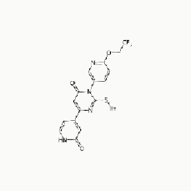 CCSc1nc(-c2cc[nH]c(=O)c2)cc(=O)n1-c1ccc(OCC(F)(F)F)nc1